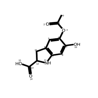 CC(=O)Oc1cc2c(cc1O)NC(C(=O)O)C2